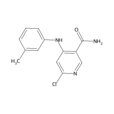 Cc1cccc(Nc2cc(Cl)ncc2C(N)=O)c1